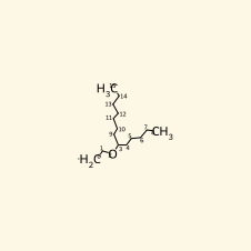 [CH2]COC(CCCCC)CCCCCCC